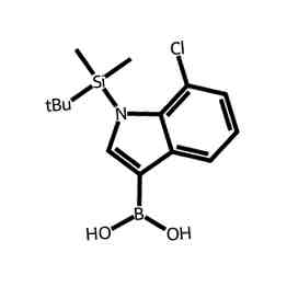 CC(C)(C)[Si](C)(C)n1cc(B(O)O)c2cccc(Cl)c21